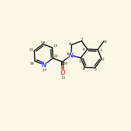 Cc1cccc2c1CCN2C(=O)c1ccccn1